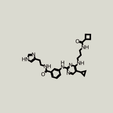 O=C(NCCc1c[nH]cn1)c1cccc(Nc2ncc(C3CC3)c(NCCCNC(=O)C3CCC3)n2)c1